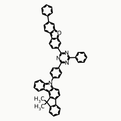 CC1(C)c2ccccc2-c2ccc3c(c21)c1ccccc1n3-c1ccc(-c2nc(-c3ccccc3)nc(-c3ccc4c(c3)oc3cc(-c5ccccc5)ccc34)n2)cc1